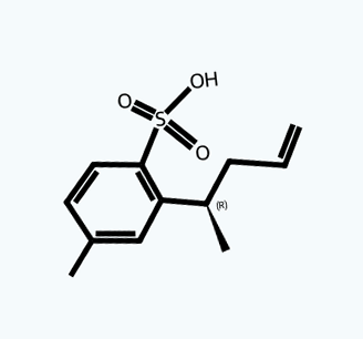 C=CC[C@@H](C)c1cc(C)ccc1S(=O)(=O)O